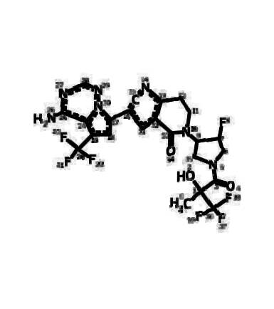 CC(O)(C(=O)N1CC(F)C(N2CCc3ncc(-c4cc(C(F)(F)F)c5c(N)ncnn45)cc3C2=O)C1)C(F)(F)F